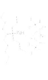 CCCCCCC(CCCC)C(N)(CCCC)CCCC.O=S(=O)(NS(=O)(=O)C(F)(F)F)C(F)(F)F